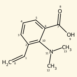 C=Cc1cccc(C(=O)O)c1N(C)C